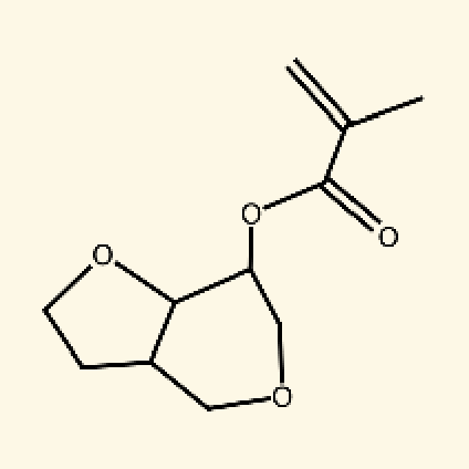 C=C(C)C(=O)OC1COCC2CCOC21